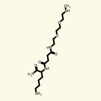 CNCCOCCOCCNC(=O)CCC(=O)NC(CCCCN)C(N)=O